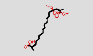 CC(=CCCCCCCCCCCCC(O)(O)C=C(C)C(=O)O)C(=O)O